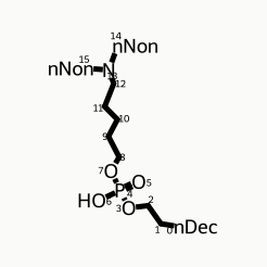 CCCCCCCCCCCCOP(=O)(O)OCCCCCN(CCCCCCCCC)CCCCCCCCC